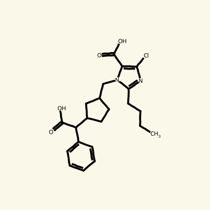 CCCCc1nc(Cl)c(C(=O)O)n1CC1CCC(C(C(=O)O)c2ccccc2)C1